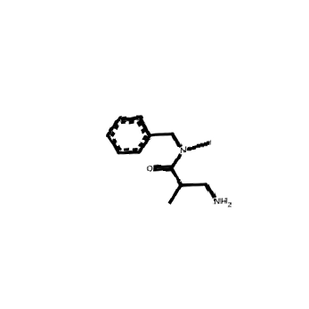 CC(CN)C(=O)N(C)Cc1ccccc1